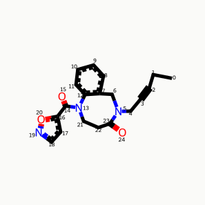 CCC#CCN1Cc2ccccc2N(C(=O)c2ccno2)CCC1=O